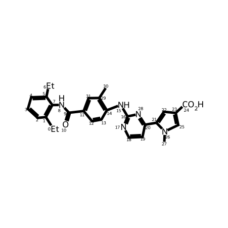 CCc1cccc(CC)c1NC(=O)c1ccc(Nc2nccc(-c3cc(C(=O)O)cn3C)n2)c(C)c1